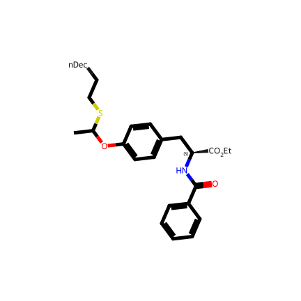 CCCCCCCCCCCCSC(C)Oc1ccc(C[C@H](NC(=O)c2ccccc2)C(=O)OCC)cc1